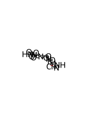 O=C1CCC(N2C(=O)c3ccc(N4CCC(COC(=O)N5CCN(c6cccc(C7(C8CC8)CNc8nccc(Cl)c87)c6)C(=O)C5)CC4)cc3C2=O)C(=O)N1